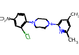 Cc1cc(C)nc(N2CCN(c3ccc([N+](=O)[O-])cc3Cl)CC2)c1